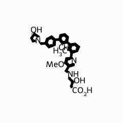 COc1cc(-c2cccc(-c3cccc(-c4ccc(CN5CC[C@@H](O)C5)cc4)c3C)c2C)ncc1CNC[C@@H](O)CC(=O)O